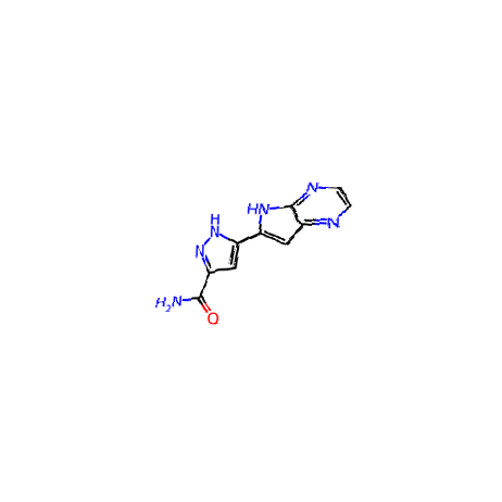 NC(=O)c1cc(-c2cc3nccnc3[nH]2)[nH]n1